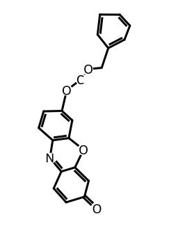 O=c1ccc2nc3ccc(OCOCc4ccccc4)cc3oc-2c1